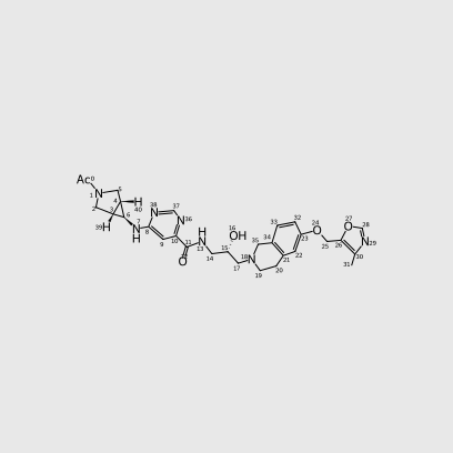 CC(=O)N1C[C@@H]2[C@H](C1)[C@H]2Nc1cc(C(=O)NC[C@H](O)CN2CCc3cc(OCc4ocnc4C)ccc3C2)ncn1